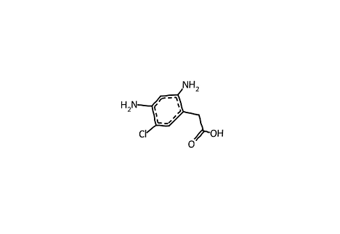 Nc1cc(N)c(CC(=O)O)cc1Cl